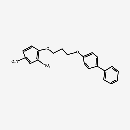 O=[N+]([O-])c1ccc(OCCCOc2ccc(-c3ccccc3)cc2)c([N+](=O)[O-])c1